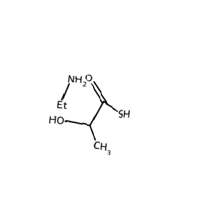 CC(O)C(=O)S.CCN